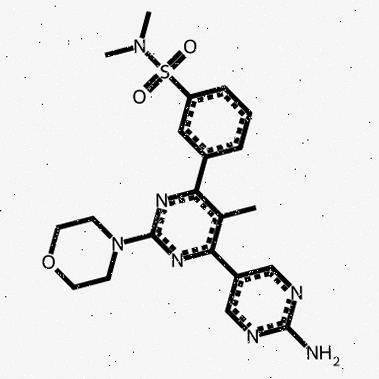 Cc1c(-c2cnc(N)nc2)nc(N2CCOCC2)nc1-c1cccc(S(=O)(=O)N(C)C)c1